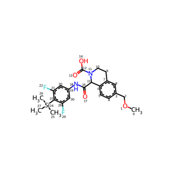 COCc1ccc2c(c1)CCN(C(=O)O)C2C(=O)Nc1cc(F)c([Si](C)(C)C)c(F)c1